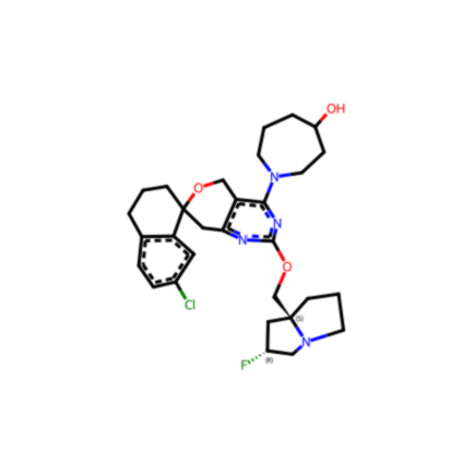 OC1CCCN(c2nc(OC[C@@]34CCCN3C[C@H](F)C4)nc3c2COC2(CCCc4ccc(Cl)cc42)C3)CC1